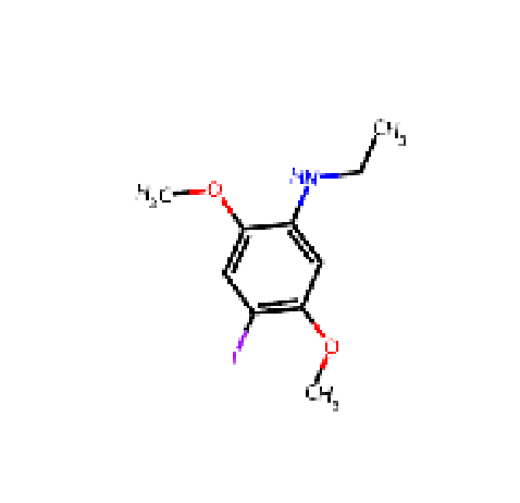 CCNc1cc(OC)c(I)cc1OC